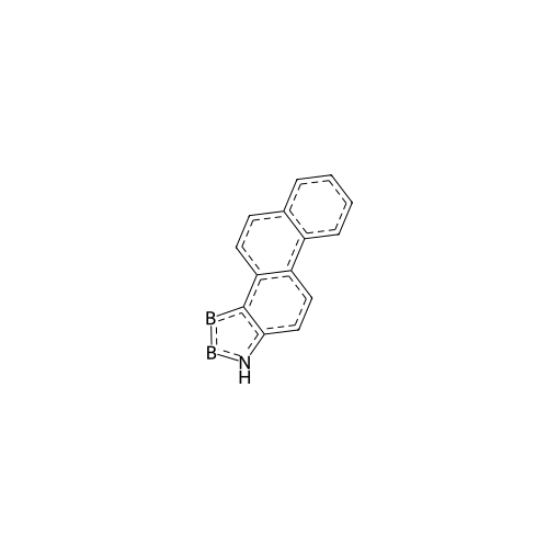 b1bc2c(ccc3c4ccccc4ccc23)[nH]1